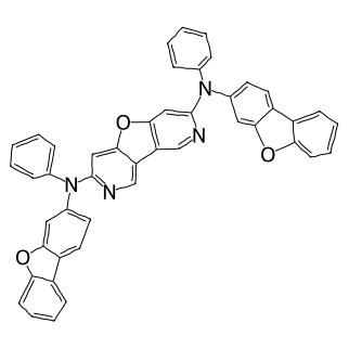 c1ccc(N(c2ccc3c(c2)oc2ccccc23)c2cc3oc4cc(N(c5ccccc5)c5ccc6c(c5)oc5ccccc56)ncc4c3cn2)cc1